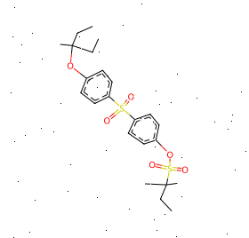 CCC(C)(CC)Oc1ccc(S(=O)(=O)c2ccc(OS(=O)(=O)C(C)(C)CC)cc2)cc1